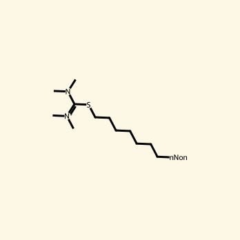 CCCCCCCCCCCCCCCCSC(N(C)C)=[N+](C)C